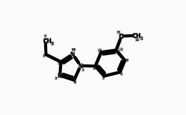 CCc1ncn(-c2cccc(OC)c2)n1